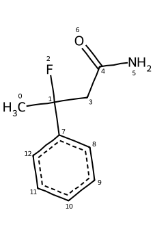 CC(F)(CC(N)=O)c1ccccc1